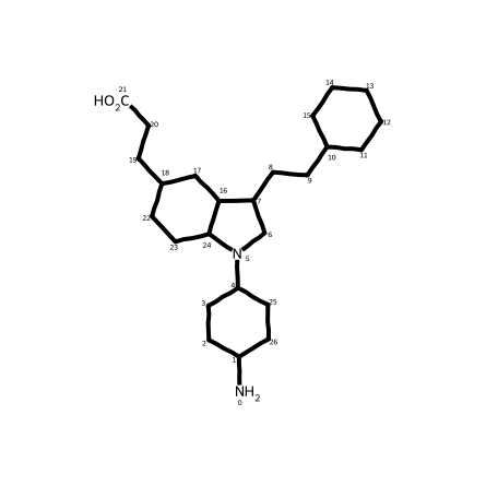 NC1CCC(N2CC(CCC3CCCCC3)C3CC(CCC(=O)O)CCC32)CC1